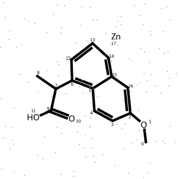 COc1ccc2c(C(C)C(=O)O)cccc2c1.[Zn]